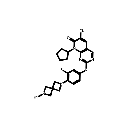 CC(C)N1CC2(CN(c3ccc(Nc4ncc5cc(C#N)c(=O)n(C6CCCC6)c5n4)cc3F)C2)C1